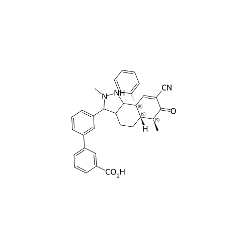 C[C@@H]1C(=O)C(C#N)=C[C@]2(c3ccccc3)C3NN(C)C(c4cccc(-c5cccc(C(=O)O)c5)c4)C3CC[C@@H]12